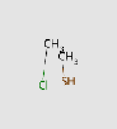 CCl.CS